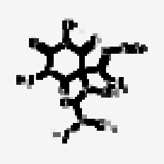 CON=C(C)C1(N(O)C(=O)N(C)C)C(=O)N(C)C(=O)N(C)C1=O